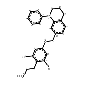 O=C(O)CCc1c(F)cc(OCc2ccc3c(c2)N(c2ccccc2)CCC3)cc1F